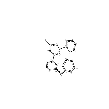 Cc1nc(-c2ccccc2)nc(-c2cccc3oc4ccccc4c23)n1